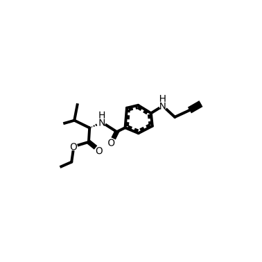 C#CCNc1ccc(C(=O)N[C@H](C(=O)OCC)C(C)C)cc1